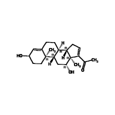 CC(=O)C1=CC[C@H]2[C@@H]3CCC4=CC(O)CC[C@]4(C)[C@H]3C[C@@H](O)[C@]12C